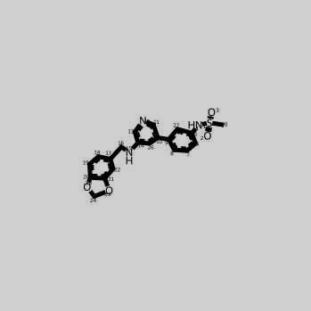 CS(=O)(=O)Nc1cccc(-c2cncc(NCc3ccc4c(c3)OCO4)c2)c1